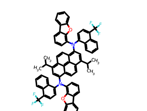 CC(C)c1cc(N(c2ccc(C(F)(F)F)c3ccccc23)c2cccc3c2oc2ccccc23)c2ccc3c(C(C)C)cc(N(c4ccc(C(F)(F)F)c5ccccc45)c4cccc5c4oc4ccccc45)c4ccc1c2c34